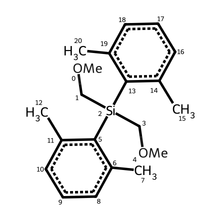 COC[Si](COC)(c1c(C)cccc1C)c1c(C)cccc1C